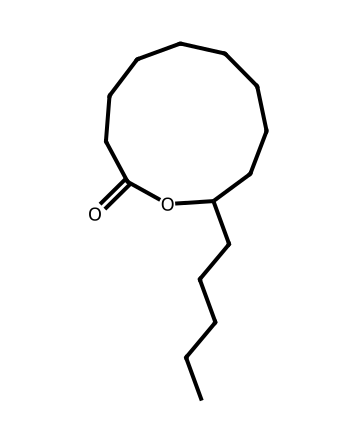 CCCCCC1CCCCCCCCC(=O)O1